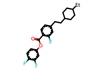 CCC1CCC(CCc2ccc(C(=O)Oc3ccc(F)c(F)c3)c(F)c2)CC1